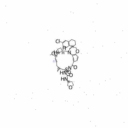 CO[C@H]1/C=C/C[C@H](C)C[S@@](=O)(NC(=O)N[C@@H]2CCOC2)=NC(=O)c2ccc3c(c2)N(C[C@@H]2CC[C@H]21)C[C@@]1(CCCc2cc(Cl)ccc21)CO3